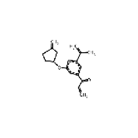 C=CC(=O)c1cc(O[C@H]2CCC(=C)C2)cc(C(=C)C)c1